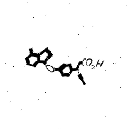 CC#C[C@@H](CC(=O)O)c1ccc(OC2CCc3c(C)cccc32)cc1